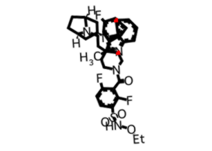 CCONS(=O)(=O)c1ccc(F)c(C(=O)N2CCC(CCN3[C@@H]4CC[C@H]3C[C@@H](n3c(C)nc5ccccc53)C4)(c3cccc(F)c3)CC2)c1F